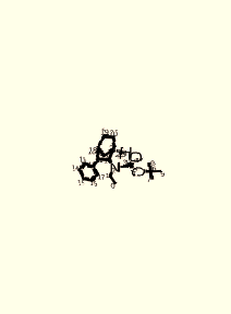 CCN(C(=O)OC(C)(C)C)C1C(c2ccccc2)C2CC[C@@H]1C2